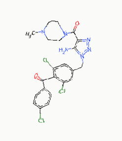 CN1CCN(C(=O)c2nnn(Cc3cc(Cl)c(C(=O)c4ccc(Cl)cc4)c(Cl)c3)c2N)CC1